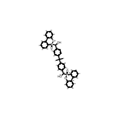 CC(C)(c1ccc(C(O)P2(=O)Oc3ccccc3-c3ccccc32)cc1)c1ccc(C(O)P2(=O)Oc3ccccc3-c3ccccc32)cc1